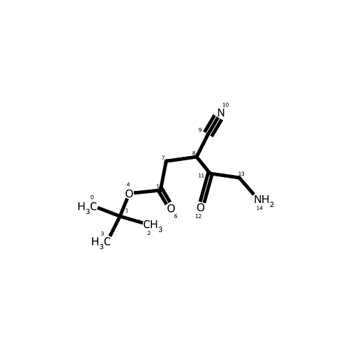 CC(C)(C)OC(=O)CC(C#N)C(=O)CN